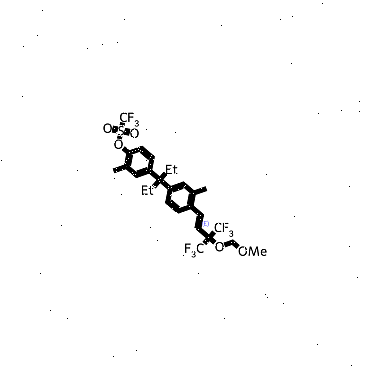 CCC(CC)(c1ccc(/C=C/C(OCOC)(C(F)(F)F)C(F)(F)F)c(C)c1)c1ccc(OS(=O)(=O)C(F)(F)F)c(C)c1